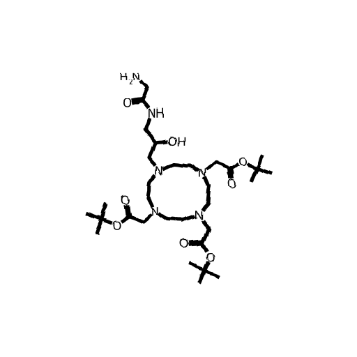 CC(C)(C)OC(=O)CN1CCN(CC(=O)OC(C)(C)C)CCN(CC(O)CNC(=O)CN)CCN(CC(=O)OC(C)(C)C)CC1